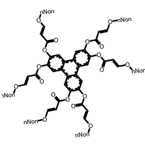 CCCCCCCCCO/C=C/C(=O)Oc1cc2c3cc(OC(=O)/C=C/OCCCCCCCCC)c(OC(=O)/C=C/OCCCCCCCCC)cc3c3cc(OC(=O)/C=C/OCCCCCCCCC)c(OC(=O)/C=C/OCCCCCCCCC)cc3c2cc1OC(=O)/C=C/OCCCCCCCCC